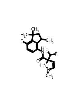 CC1CC(C)(C)c2c(F)ccc(NC(=O)C3(C(F)F)C=CN(C)N3)c21